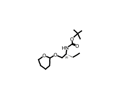 CC[C@H](COC1CCCCO1)NC(=O)OC(C)(C)C